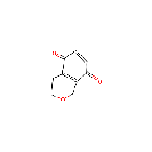 O=C1C=CC(=O)C2=C1C[CH]OC2